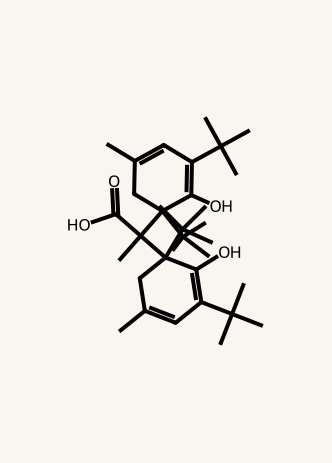 CC1=CC(C(C)(C)C)=C(O)C(C(C)(C)C)(C(C)(C(=O)O)C2(C(C)(C)C)CC(C)=CC(C(C)(C)C)=C2O)C1